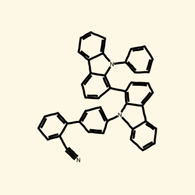 N#Cc1ccccc1-c1ccc(-n2c3ccccc3c3cccc(-c4cccc5c6ccccc6n(-c6ccccc6)c45)c32)cc1